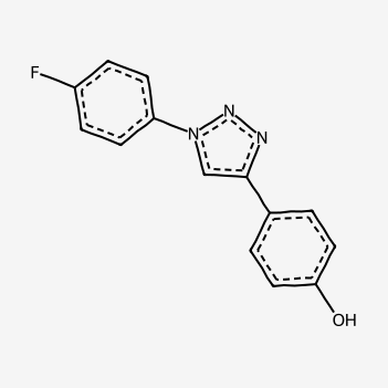 Oc1ccc(-c2cn(-c3ccc(F)cc3)nn2)cc1